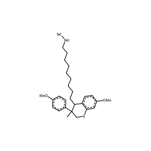 COc1ccc(C2(C)CSc3cc(OC)ccc3C2CCCCCCCCCNC#N)cc1